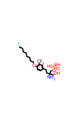 NC(CO)(CCc1ccc(OCCCCCCCCF)c(C(F)(F)F)c1)COP(=O)(O)O